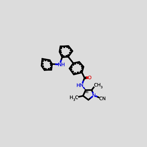 CC1CN(C#N)C(C)[C@@H]1NC(=O)c1ccc(-c2ccccc2Nc2ccccc2)cc1